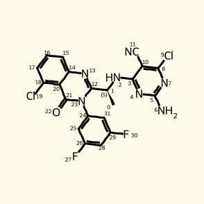 C[C@H](Nc1nc(N)nc(Cl)c1C#N)c1nc2cccc(Cl)c2c(=O)n1-c1cc(F)cc(F)c1